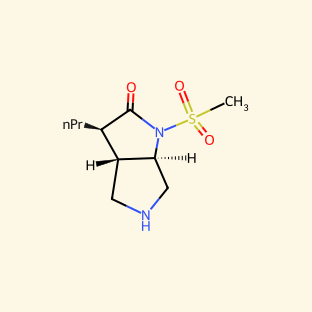 CCC[C@H]1C(=O)N(S(C)(=O)=O)[C@H]2CNC[C@H]12